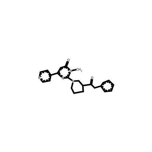 Cn1c(N2CCCC(C(=O)Cc3ccccc3)C2)nc(-c2ccncc2)cc1=O